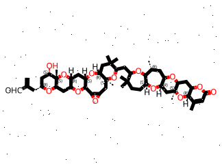 C=C(C=O)C[C@@H]1C[C@H](O)[C@]2(C)O[C@@H]3C[C@@H]4O[C@@H]5CC(C)(C)C(CC6OC7[C@H](C)CC8OC9CC%10OC(=O)C=C(C)[C@H]%10O[C@@]9(C)C[C@H]8O[C@H]7CCC6(C)C)O[C@@]5(C)CC5OC5C4OC3CC2O1